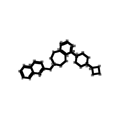 c1ccc2nc(CN3CCc4ncnc(N5CCN(C6CCC6)CC5)c4CC3)ccc2c1